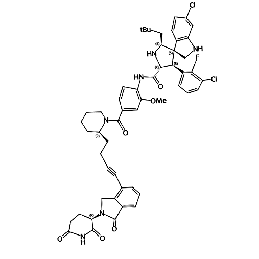 COc1cc(C(=O)N2CCCC[C@@H]2CCC#Cc2cccc3c2CN([C@@H]2CCC(=O)NC2=O)C3=O)ccc1NC(=O)[C@@H]1N[C@@H](CC(C)(C)C)[C@@]2(CNc3cc(Cl)ccc32)[C@H]1c1cccc(Cl)c1F